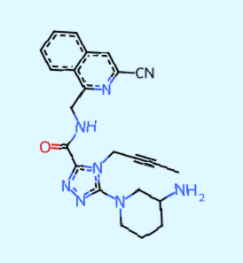 CC#CCn1c(C(=O)NCc2nc(C#N)cc3ccccc23)nnc1N1CCCC(N)C1